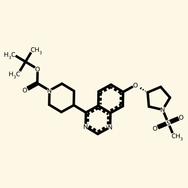 CC(C)(C)OC(=O)N1CCC(c2ncnc3cc(O[C@@H]4CCN(S(C)(=O)=O)C4)ccc23)CC1